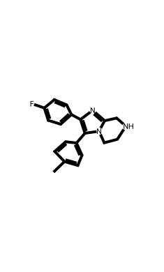 Cc1ccc(-c2c(-c3ccc(F)cc3)nc3n2CCNC3)cc1